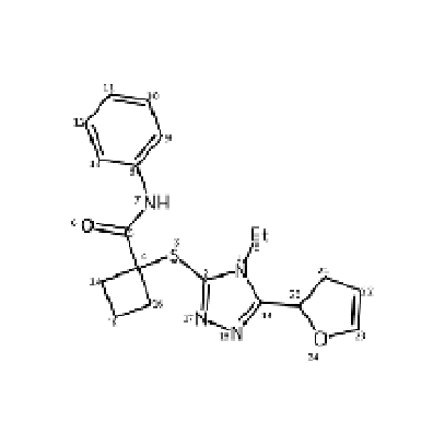 CCn1c(SC2(C(=O)Nc3ccccc3)CCC2)nnc1C1CC=CO1